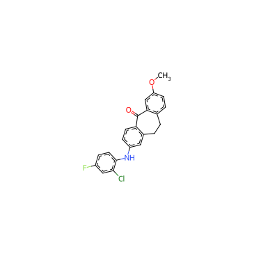 COc1ccc2c(c1)C(=O)c1ccc(Nc3ccc(F)cc3Cl)cc1CC2